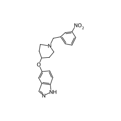 O=[N+]([O-])c1cccc(CN2CCC(Oc3ccc4[nH]ncc4c3)CC2)c1